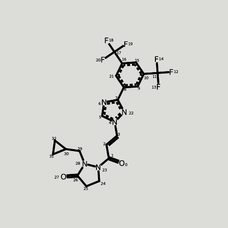 O=C(C=Cn1cnc(-c2cc(C(F)(F)F)cc(C(F)(F)F)c2)n1)N1CCC(=O)N1CC1CC1